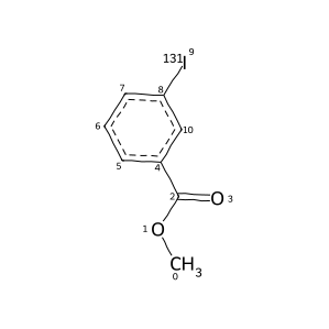 COC(=O)c1cccc([131I])c1